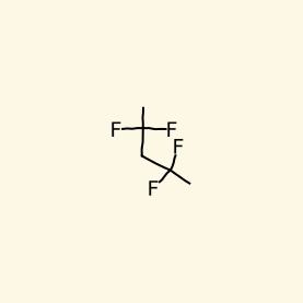 CC(F)(F)CC(C)(F)F